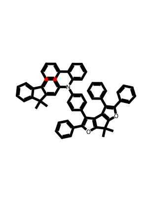 CC1(C)c2ccccc2-c2ccc(N(c3ccc(-c4c(-c5ccccc5)oc5c4-c4c(oc(-c6ccccc6)c4-c4ccccc4)C5(C)C)cc3)c3ccccc3-c3ccccc3)cc21